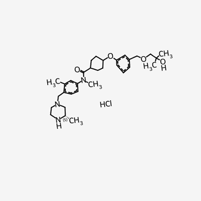 Cc1cc(N(C)C(=O)C2CCC(Oc3cccc(COCC(C)(C)O)c3)CC2)ccc1CN1CCN[C@@H](C)C1.Cl